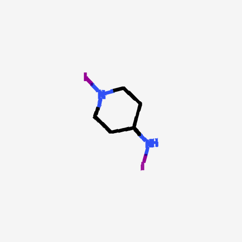 INC1CCN(I)CC1